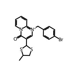 CC1CSC(c2c[n+](Cc3ccc(Br)cc3)c3ccccn3c2=O)S1